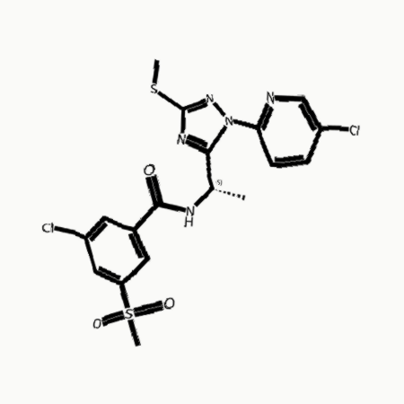 CSc1nc([C@H](C)NC(=O)c2cc(Cl)cc(S(C)(=O)=O)c2)n(-c2ccc(Cl)cn2)n1